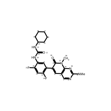 CNc1ncc2cc(-c3cc(NC(=O)NC4CCCCC4)c(F)cc3F)c(=O)n(C)c2n1